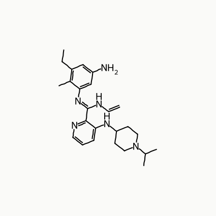 C=CN/C(=N\c1cc(N)cc(CC)c1C)c1ncccc1NC1CCN(C(C)C)CC1